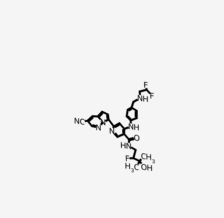 CC(C)(O)C(F)CNC(=O)c1cnc(-c2ccc3cc(C#N)cnn23)cc1Nc1ccc(CNCC(F)F)cc1